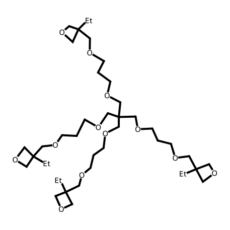 CCC1(COCCCOCC(COCCCOCC2(CC)COC2)(COCCCOCC2(CC)COC2)COCCCOCC2(CC)COC2)COC1